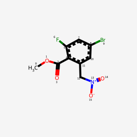 COC(=O)c1c(F)cc(Br)cc1C[N+](=O)[O-]